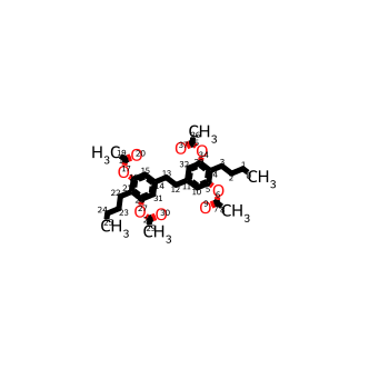 CCCCc1c(OC(C)=O)cc(CCc2cc(OC(C)=O)c(CCCC)c(OC(C)=O)c2)cc1OC(C)=O